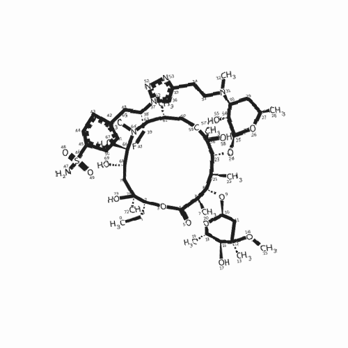 CC[C@H]1OC(=O)[C@H](C)[C@@H](O[C@H]2C[C@@](C)(OC)[C@@H](O)[C@H](C)O2)[C@H](C)[C@@H](O[C@@H]2O[C@H](C)C[C@H](N(C)CCc3cn([C@H](CF)Cc4ccc(S(N)(=O)=O)cc4)nn3)[C@H]2O)[C@](C)(O)CC[C@@H](C)CN(C)[C@H](C)[C@@H](O)C[C@]1(C)O